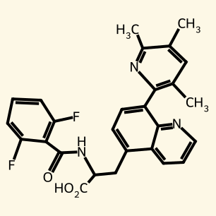 Cc1cc(C)c(-c2ccc(CC(NC(=O)c3c(F)cccc3F)C(=O)O)c3cccnc23)nc1C